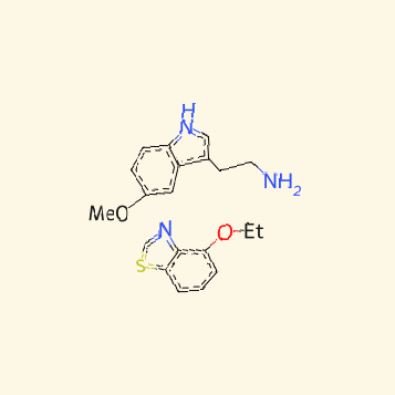 CCOc1cccc2scnc12.COc1ccc2[nH]cc(CCN)c2c1